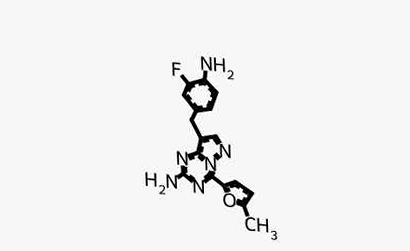 Cc1ccc(-c2nc(N)nc3c(Cc4ccc(N)c(F)c4)cnn23)o1